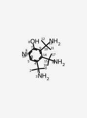 CC(C)(N)c1ccc(O)c(C(C)(C)N)c1C(C)(C)N.N